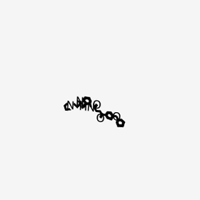 O=C(CCC(=O)c1ccc(Oc2ccccc2)cc1)Nc1cccc2nn(CCN3CCCC3)cc12